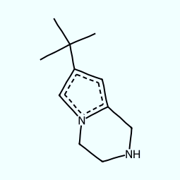 CC(C)(C)c1cc2n(c1)CCNC2